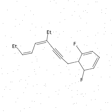 CC/C=C\C=C(/C#CCC1C(F)=CC=CC1F)CC